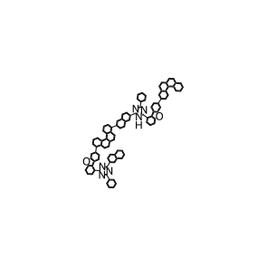 c1ccc(C2=NC(c3ccc4cc(-c5cccc6c5ccc5ccc7c(-c8ccc9c(c8)oc8cccc(-c%10nc(-c%11ccccc%11)nc(-c%11ccc%12ccccc%12c%11)n%10)c89)cccc7c56)ccc4c3)NC(c3cccc4oc5cc(-c6ccc7c(ccc8ccc9ccccc9c87)c6)ccc5c34)=N2)cc1